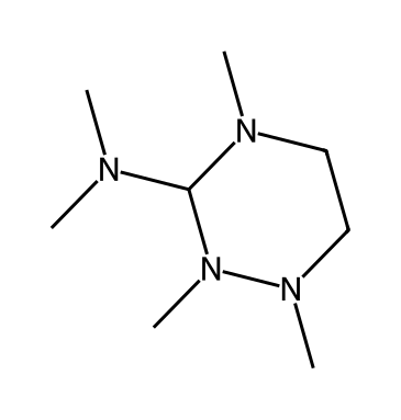 CN(C)C1N(C)CCN(C)N1C